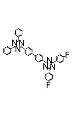 Fc1ccc(-c2nc(-c3ccc(F)cc3)nc(-c3ccc(-c4ccc(-c5nc(-c6ccccc6)nc(-c6ccccc6)n5)cc4)cc3)n2)cc1